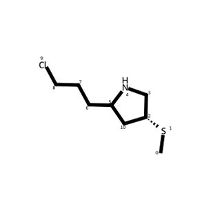 CS[C@H]1CNC(CCCCl)C1